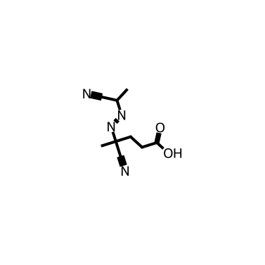 CC(C#N)N=NC(C)(C#N)CCC(=O)O